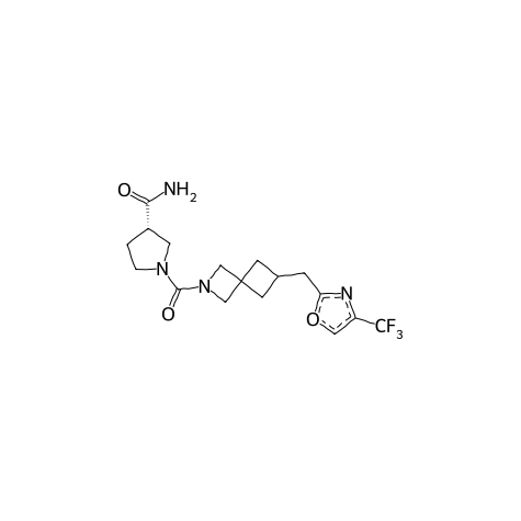 NC(=O)[C@H]1CCN(C(=O)N2CC3(CC(Cc4nc(C(F)(F)F)co4)C3)C2)C1